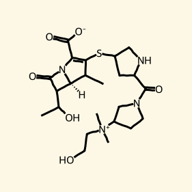 CC(O)C1C(=O)N2C(C(=O)[O-])=C(SC3CNC(C(=O)N4CCC([N+](C)(C)CCO)C4)C3)C(C)[C@@H]12